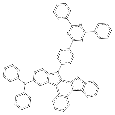 c1ccc(-c2nc(-c3ccccc3)nc(-c3ccc(-n4c5ccc(N(c6ccccc6)c6ccccc6)cc5c5c6ccccc6c6c7ccccc7sc6c54)cc3)n2)cc1